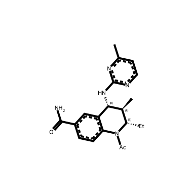 CC[C@H]1[C@H](C)[C@@H](Nc2nccc(C)n2)c2cc(C(N)=O)ccc2N1C(C)=O